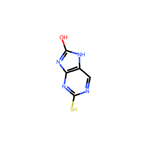 Oc1nc2nc(S)ncc2[nH]1